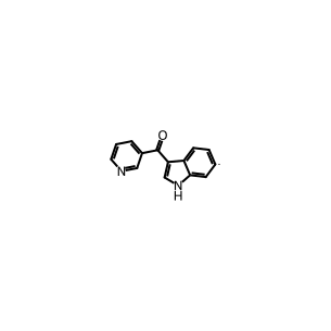 O=C(c1cccnc1)c1c[nH]c2c[c]ccc12